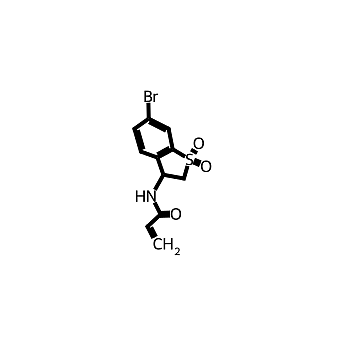 C=CC(=O)NC1CS(=O)(=O)c2cc(Br)ccc21